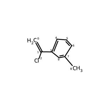 C=C(Cl)c1cccc(C)c1